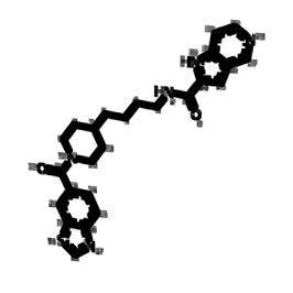 O=C(NCCCCC1CCN(C(=O)c2ccc3ncsc3c2)CC1)c1cc2cnccc2[nH]1